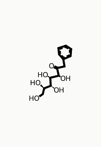 O=C(Cc1ccccc1)[C@@H](O)[C@@H](O)[C@H](O)[C@H](O)CO